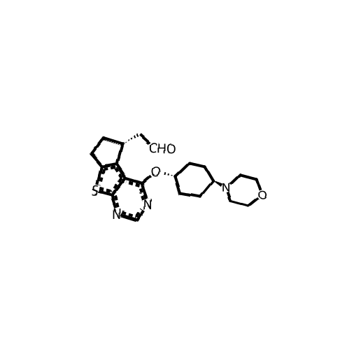 O=CC[C@H]1CCc2sc3ncnc(O[C@H]4CC[C@H](N5CCOCC5)CC4)c3c21